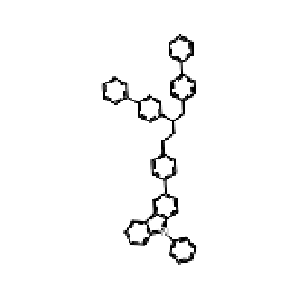 c1ccc(-c2ccc(CC(CCc3ccc(-c4ccc5c(c4)c4ccccc4n5-c4ccccc4)cc3)c3ccc(-c4ccccc4)cc3)cc2)cc1